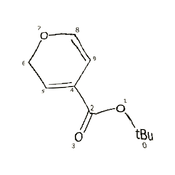 CC(C)(C)OC(=O)C1=CCOC=C1